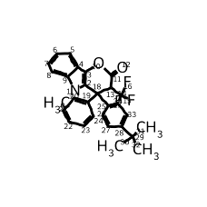 Cn1c2c(c3ccccc31)OC(=O)C(C(F)(F)F)C2(c1ccccc1)c1ccc(C(C)(C)C)cc1